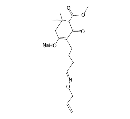 C=CCON=CCCCC1=C(O)CC(C)(C)C(C(=O)OC)C1=O.[Na]